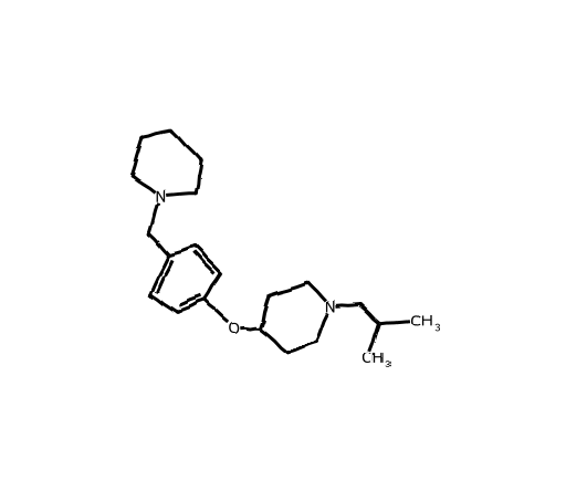 CC(C)CN1CCC(Oc2ccc(CN3CCCCC3)cc2)CC1